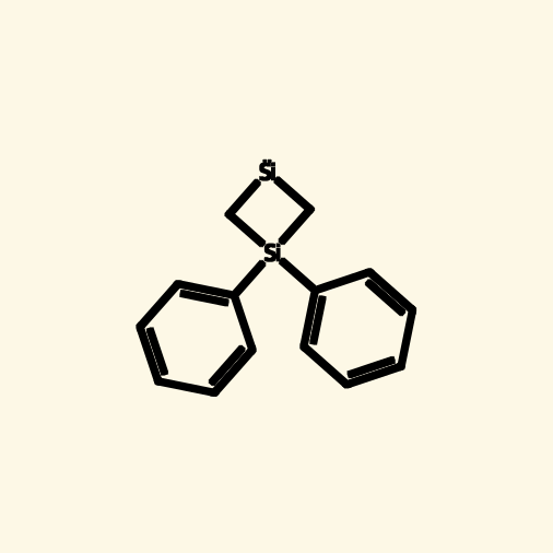 c1ccc([Si]2(c3ccccc3)C[Si]C2)cc1